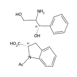 CC(=O)N1c2ccccc2C[C@H]1C(=O)O.NC(CO)[C@@H](O)c1ccccc1